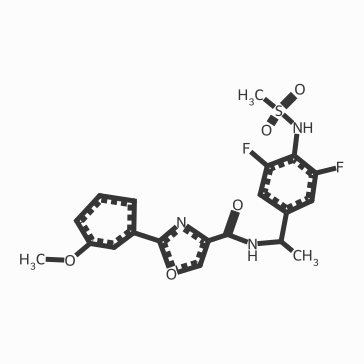 COc1cccc(-c2nc(C(=O)NC(C)c3cc(F)c(NS(C)(=O)=O)c(F)c3)co2)c1